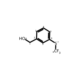 OCc1cccc(SC(F)(F)F)c1